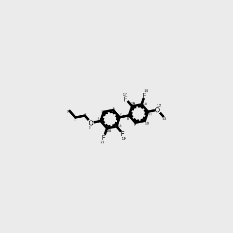 CCCOc1ccc(-c2ccc(OC)c(F)c2F)c(F)c1F